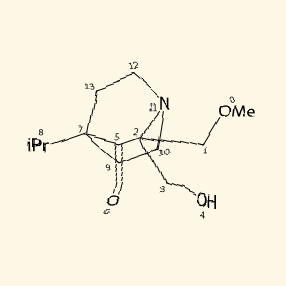 COCC1(CO)C(=O)C2(C(C)C)CCN1CC2